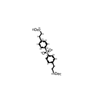 CCCCCCCCCCCCc1ccc(S(=O)(=O)c2ccc(CCCCCCCCCCCC)cc2)cc1